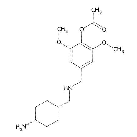 COc1cc(CNC[C@H]2CC[C@@H](N)CC2)cc(OC)c1OC(C)=O